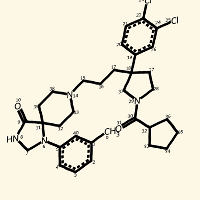 Cc1cccc(N2CNC(=O)C23CCN(CCCC2(c4ccc(Cl)c(Cl)c4)CCN(C(=O)C4CCCC4)C2)CC3)c1